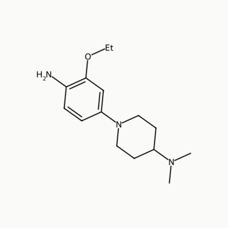 CCOc1cc(N2CCC(N(C)C)CC2)ccc1N